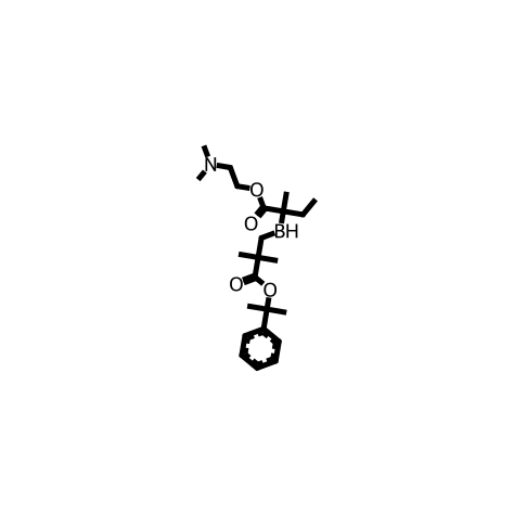 CCC(C)(BCC(C)(C)C(=O)OC(C)(C)c1ccccc1)C(=O)OCCN(C)C